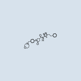 O=C(Nc1nnc(CCc2ccccc2)s1)C1CC(=O)N(c2ccc(CN3CCCOCC3)cc2)C1